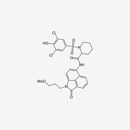 COCCCN1C(=O)c2cccc3c(NC(=O)C4CCCCN4S(=O)(=O)c4cc(Cl)c(O)c(Cl)c4)ccc1c23